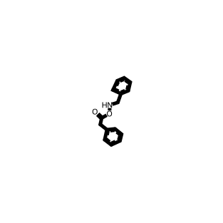 O=C(Cc1ccccc1)ONCc1ccccc1